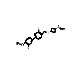 CC(C)Oc1ccc(-c2ccc(CO[C@H]3C[C@@H](N=C=S)C3)c(F)c2)cc1F